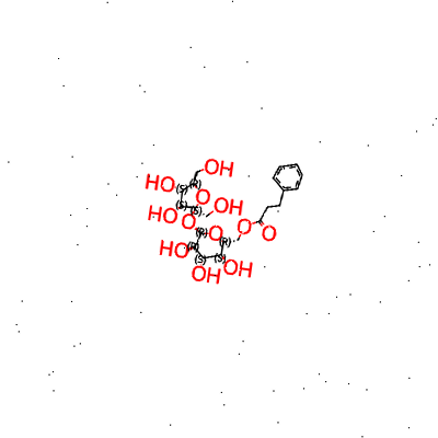 O=C(CCc1ccccc1)OC[C@H]1O[C@H](O[C@]2(CO)O[C@H](CO)[C@@H](O)[C@@H]2O)[C@H](O)[C@@H](O)[C@@H]1O